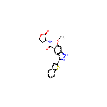 COc1cc2[nH]nc(-c3cc4ccccc4s3)c2cc1C(=O)NC1CCOC1=O